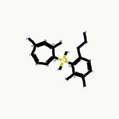 CCCc1ccc(C)c(C)c1S(C)(C)C1=CC=CC(C)=C=C1C